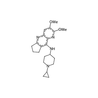 COc1cc2nc3c(c(NC4CCN(C5CC5)CC4)c2nc1OC)CCC3